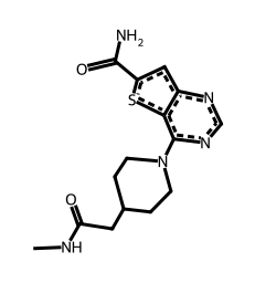 CNC(=O)CC1CCN(c2ncnc3cc(C(N)=O)sc23)CC1